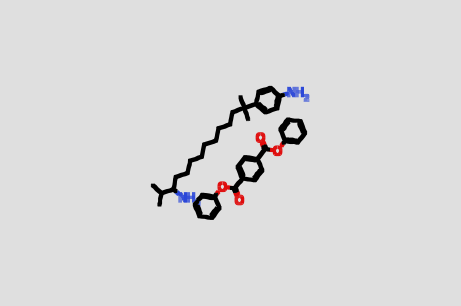 CC(C)C(N)CCCCCCCCCC(C)(C)c1ccc(N)cc1.O=C(Oc1ccccc1)c1ccc(C(=O)Oc2ccccc2)cc1